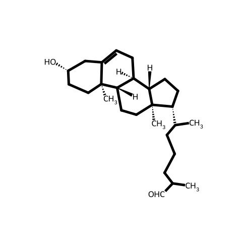 CC(C=O)CCCC(C)[C@H]1CC[C@H]2[C@@H]3CC=C4C[C@@H](O)CC[C@]4(C)[C@H]3CC[C@]12C